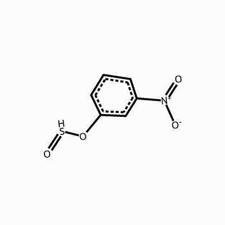 O=[SH]Oc1cccc([N+](=O)[O-])c1